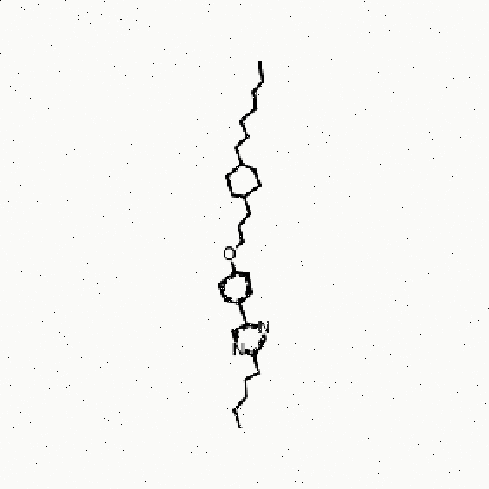 CCCCCCCC1CCC(CCCOc2ccc(-c3cnc(CCCCC)cn3)cc2)CC1